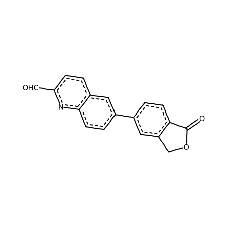 O=Cc1ccc2cc(-c3ccc4c(c3)COC4=O)ccc2n1